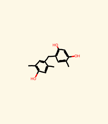 Cc1cc(Cc2cc(C)c(O)cc2O)c(C)cc1O